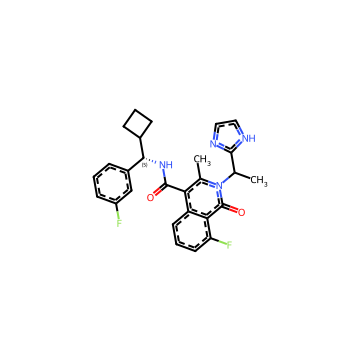 Cc1c(C(=O)N[C@H](c2cccc(F)c2)C2CCC2)c2cccc(F)c2c(=O)n1C(C)c1ncc[nH]1